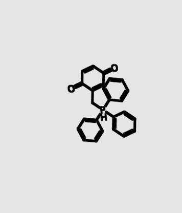 O=C1C=CC(=O)C(C[PH](c2ccccc2)(c2ccccc2)c2ccccc2)=C1